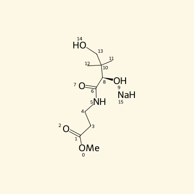 COC(=O)CCNC(=O)[C@H](O)C(C)(C)CO.[NaH]